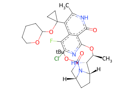 Cc1[nH]c(=O)c2c(O[C@@H](C)[C@H]3NC[C@H]4CC[C@@H]3N4C(=O)OC(C)(C)C)nc(Cl)c(F)c2c1C1(OC2CCCCO2)CC1